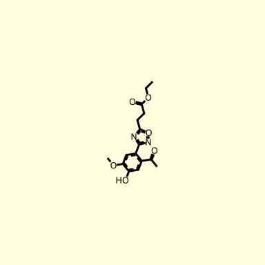 CCOC(=O)CCc1nc(-c2cc(OC)c(O)cc2C(C)=O)no1